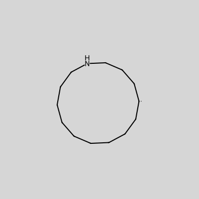 [CH]1CCCCCCCCCNCCC1